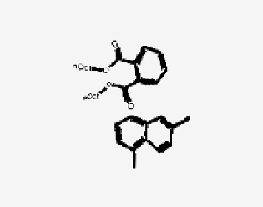 CCCCCCCCOC(=O)c1ccccc1C(=O)OCCCCCCCC.Cc1ccc2c(C)cccc2c1